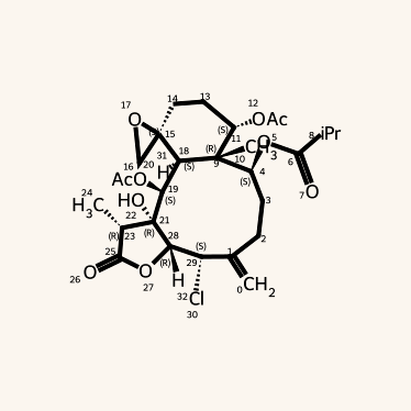 C=C1CC[C@H](OC(=O)C(C)C)[C@@]2(C)[C@@H](OC(C)=O)CC[C@@]3(CO3)[C@@H]2[C@H](OC(C)=O)[C@]2(O)[C@@H](C)C(=O)O[C@H]2[C@H]1Cl